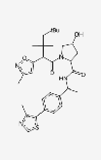 Cc1cc(C(C(=O)N2CC(O)CC2C(=O)NC(C)c2ccc(-c3scnc3C)cc2)C(C)(C)CC(C)(C)C)on1